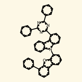 c1ccc(-c2nc(-c3ccccc3)nc(-c3cccc4c3c3ccccc3n4-c3cccc4c3oc3c(-c5ccccc5)cccc34)n2)cc1